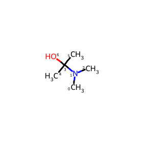 CN(C)C(C)(C)O